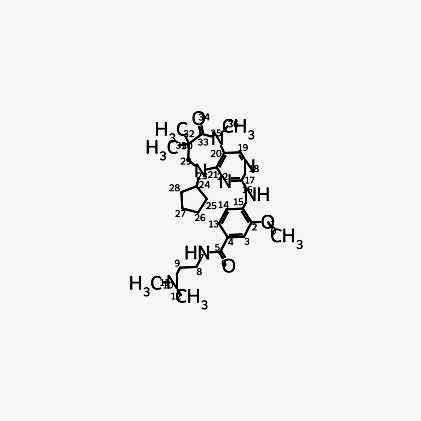 COc1cc(C(=O)NCCN(C)C)ccc1Nc1ncc2c(n1)N(C1CCCC1)CC(C)(C)C(=O)N2C